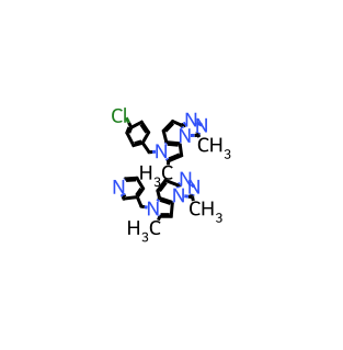 Cc1cc2c(ccc3nnc(C)n32)n1Cc1ccc(Cl)cc1.Cc1cc2c(ccc3nnc(C)n32)n1Cc1cccnc1